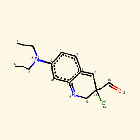 CCN(CC)c1ccc2c(c1)=NCC(Cl)(C=O)C=2